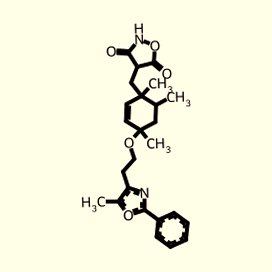 Cc1oc(-c2ccccc2)nc1CCOC1(C)C=CC(C)(CC2C(=O)NOC2=O)C(C)C1